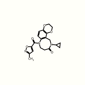 Cc1cc(C(=O)N2CCC(=O)N(C3CC3)Cc3c2ccc2c3OCCO2)on1